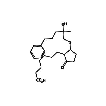 CC(O)(CCCc1ccccc1)CSC1CCC(=O)C1CCCCCCC(=O)O